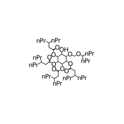 CCCC(CCC)CC(=O)OC1C(O)C(OCOC(CCC)CCC)C(OC(=O)CC(CCC)CCC)C(OC(=O)CC(CCC)CCC)C1OC(=O)CC(CCC)CCC